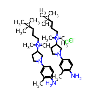 Cc1cc(N2CCC([N+](C)(C)CCC[Si](C)(C)C)C2)ccc1N.Cc1cc(N2CCC([N+](C)(C)CCC[Si](C)(C)C)C2)ccc1N.[Cl-].[Cl-]